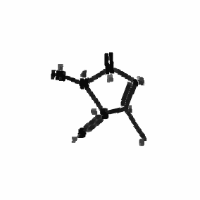 CC1=CNN(S)S1=S